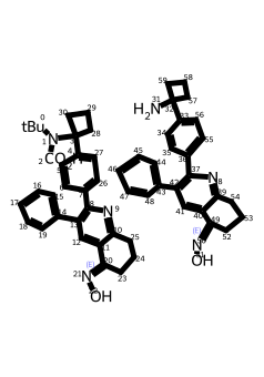 CC(C)(C)N(C(=O)O)C1(c2ccc(-c3nc4c(cc3-c3ccccc3)/C(=N/O)CCC4)cc2)CCC1.NC1(c2ccc(-c3nc4c(cc3-c3ccccc3)/C(=N/O)CCC4)cc2)CCC1